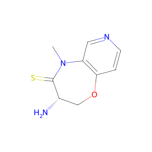 CN1C(=S)[C@@H](N)COc2ccncc21